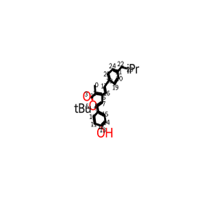 CC(C(=O)OC(C)(C)C)=C(C=Cc1ccc(O)cc1)C=Cc1ccc(CC(C)C)cc1